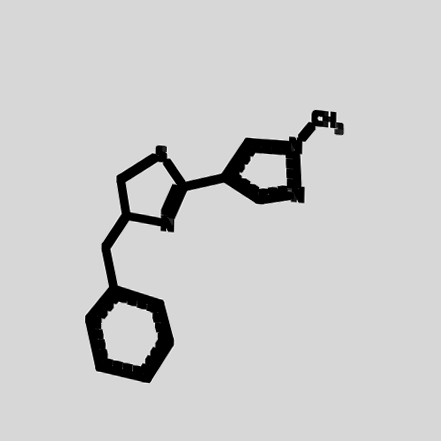 Cn1cc(C2=NC(Cc3ccccc3)CS2)cn1